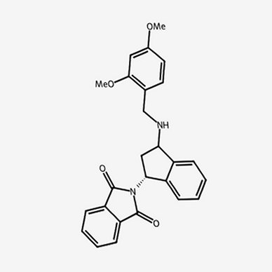 COc1ccc(CNC2C[C@@H](N3C(=O)c4ccccc4C3=O)c3ccccc32)c(OC)c1